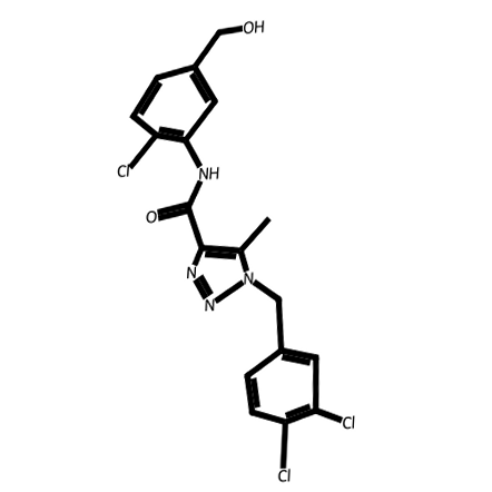 Cc1c(C(=O)Nc2cc(CO)ccc2Cl)nnn1Cc1ccc(Cl)c(Cl)c1